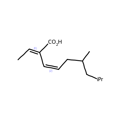 C/C=C(\C=C/CC(C)CC(C)C)C(=O)O